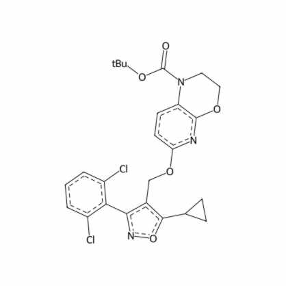 CC(C)(C)OC(=O)N1CCOc2nc(OCc3c(-c4c(Cl)cccc4Cl)noc3C3CC3)ccc21